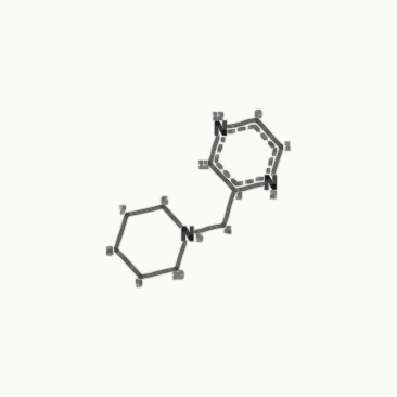 c1cnc(CN2CCCCC2)cn1